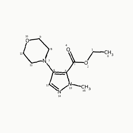 CCOC(=O)c1c(N2CCOCC2)cnn1C